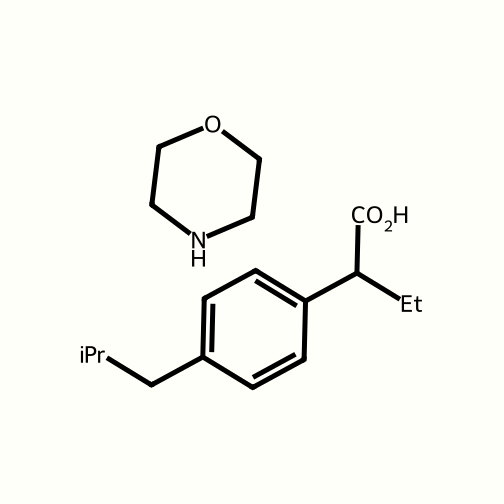 C1COCCN1.CCC(C(=O)O)c1ccc(CC(C)C)cc1